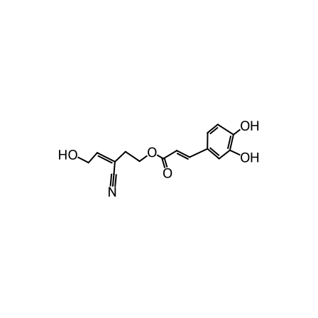 N#C/C(=C\CO)CCOC(=O)/C=C/c1ccc(O)c(O)c1